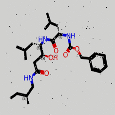 CC[C@H](C)CNC(=O)C[C@H](O)[C@H](CC(C)C)NC(=O)[C@H](CC(C)C)NC(=O)OCc1ccccc1